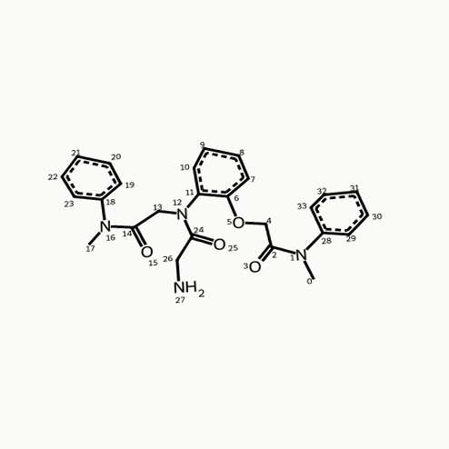 CN(C(=O)COc1ccccc1N(CC(=O)N(C)c1ccccc1)C(=O)CN)c1ccccc1